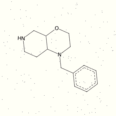 c1ccc(CN2CCOC3CNCCC32)cc1